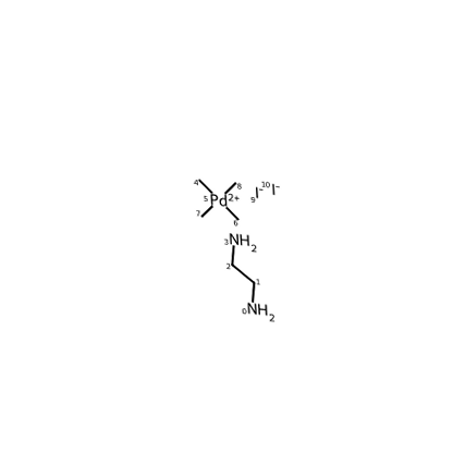 NCCN.[CH3][Pd+2]([CH3])([CH3])[CH3].[I-].[I-]